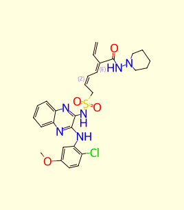 C=C/C(=C\C=C/CS(=O)(=O)Nc1nc2ccccc2nc1Nc1cc(OC)ccc1Cl)C(=O)NN1CCCCC1